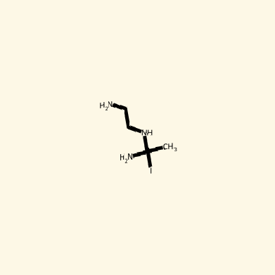 CC(N)(I)NCCN